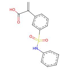 C=C(C(=O)O)c1cccc(S(=O)(=O)Nc2ccccc2)c1